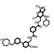 CCc1nc2c(cnn2CC)c(NC2CCOCC2)c1CNC(=O)c1cccc(C(=O)NCc2cc(-c3cccc(CN4CCCNCC4)c3)ccc2OC)c1